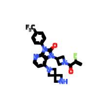 C=C(F)C(=O)N1CC(n2c(=O)n(-c3ccc(C(F)(F)F)cc3)c3nccc(N4CC5(CNC5)C4)c32)C1